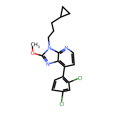 COc1nc2c(-c3ccc(Cl)cc3Cl)ccnc2n1CCCC1CC1